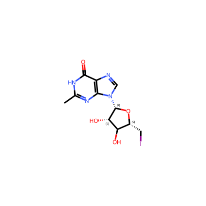 Cc1nc2c(ncn2[C@@H]2O[C@H](CI)C(O)[C@@H]2O)c(=O)[nH]1